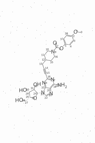 COc1ccc(OC(=O)N2CCC(CC#Cc3nc(N)c4ncn([C@@H]5O[C@H](CO)[C@H](O)C5O)c4n3)CC2)cc1